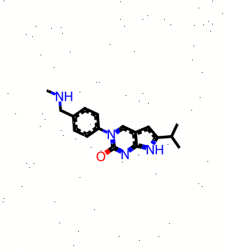 CNCc1ccc(-n2cc3cc(C(C)C)[nH]c3nc2=O)cc1